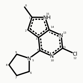 Cc1cc2c(N3CCCC3)nc(Cl)nc2[nH]1